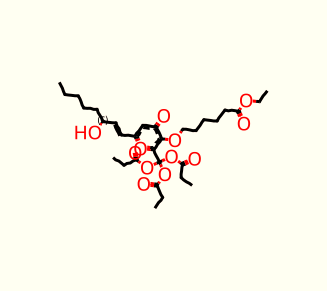 CCCCC[C@H](O)C=Cc1cc(=O)c(OCCCCCC(=O)OCC)c(C(OC(=O)CC)(OC(=O)CC)OC(=O)CC)o1